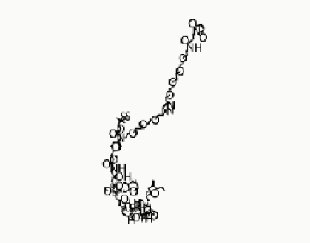 C=C1C[C@H](CC[C@]23C[C@@H](OC)[C@H](O2)[C@H]2C[C@@H](O3)[C@H]3O[C@@H](CC(=O)C[C@@H]4[C@@H](OC)[C@@H](C[C@H](O)CNC(=O)OCc5ccc(N(CCOCCOCCOCCn6cc(COCCOCCOCCOCCNC(=O)CCN7C(=O)C=CC7=O)nn6)C(=O)OCC(C)(C)SSC)cc5)O[C@H]4CC4OCC[C@@H](C)C4=C)CC[C@@H]3O2)OC1CC